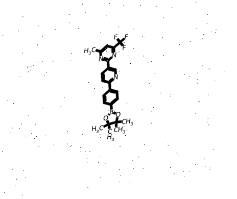 Cc1cc(C(F)(F)F)nc(-c2ccc(-c3ccc(B4OC(C)(C)C(C)(C)O4)cc3)nc2)n1